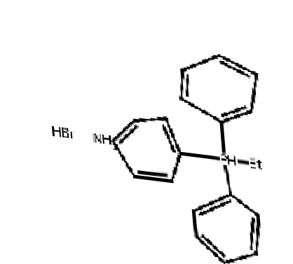 Br.CC[PH](c1ccccc1)(c1ccccc1)c1ccccc1.N